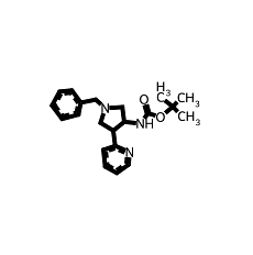 CC(C)(C)OC(=O)NC1CN(Cc2ccccc2)CC1c1ccccn1